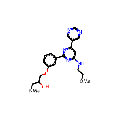 CNCC(O)COc1cccc(-c2nc(NCCOC)cc(-c3cncnc3)n2)c1